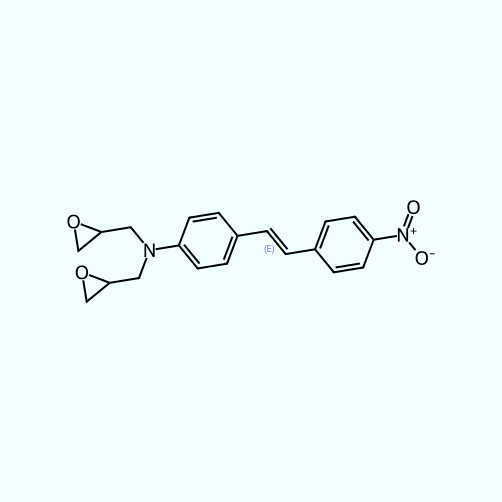 O=[N+]([O-])c1ccc(/C=C/c2ccc(N(CC3CO3)CC3CO3)cc2)cc1